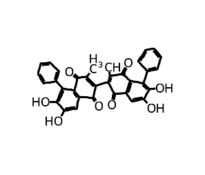 CC1=C(C2=C(C)C(=O)c3c(cc(O)c(O)c3-c3ccccc3)C2=O)C(=O)c2cc(O)c(O)c(-c3ccccc3)c2C1=O